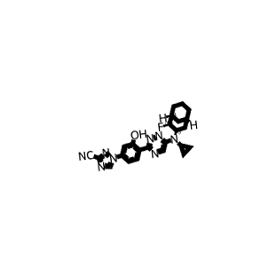 N#Cc1ncn(-c2ccc(-c3ncc(N(C4CC4)[C@@H]4C[C@H]5CCC[C@H](C5)[C@@H]4F)nn3)c(O)c2)n1